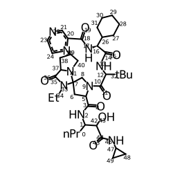 CCCC(NC(=O)C1CC2(CN1C(=O)C(NC(=O)[C@@H](NC(=O)c1cnccn1)C1CCCCC1)C(C)(C)C)N(CC)C(=O)C1CCCN12)C(O)C(=O)NC1CC1